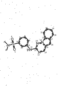 CN(C)S(=O)(=O)c1cccc(Nc2ncc3cc4ccccc4n3n2)c1